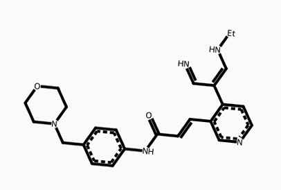 CCN/C=C(\C=N)c1ccncc1/C=C/C(=O)Nc1ccc(CN2CCOCC2)cc1